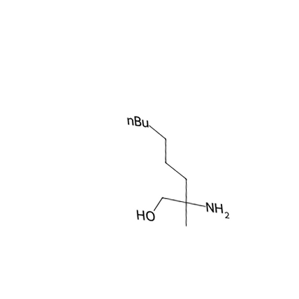 CCCCCCCC(C)(N)CO